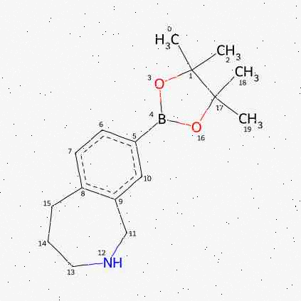 CC1(C)OB(c2ccc3c(c2)CNCCC3)OC1(C)C